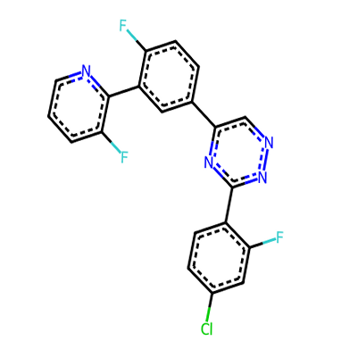 Fc1cc(Cl)ccc1-c1nncc(-c2ccc(F)c(-c3ncccc3F)c2)n1